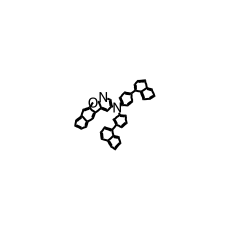 c1cc(-c2cccc3ccccc23)cc(N(c2ccc(-c3cccc4ccccc34)cc2)c2cnc3oc4cc5ccccc5cc4c3c2)c1